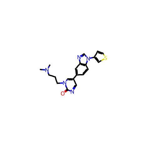 CN(C)CCCn1cc(-c2ccc3c(c2)ncn3-c2ccsc2)cnc1=O